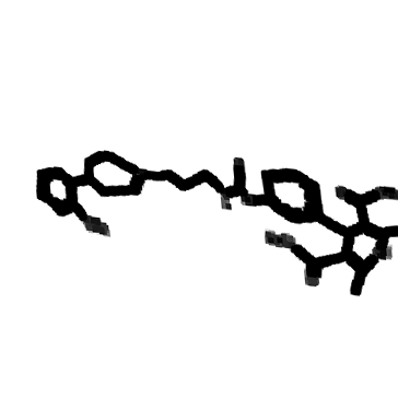 COC(=O)C1=C(C)NC(C)=C(C(=O)OC)C1c1cccc(NC(=O)NCCCN2CCC(c3ccccc3OC)CC2)c1